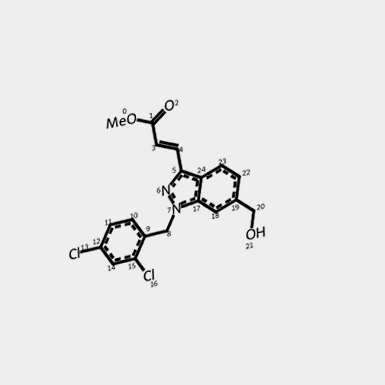 COC(=O)C=Cc1nn(Cc2ccc(Cl)cc2Cl)c2cc(CO)ccc12